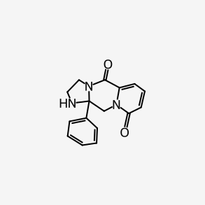 O=C1c2cccc(=O)n2CC2(c3ccccc3)NCCN12